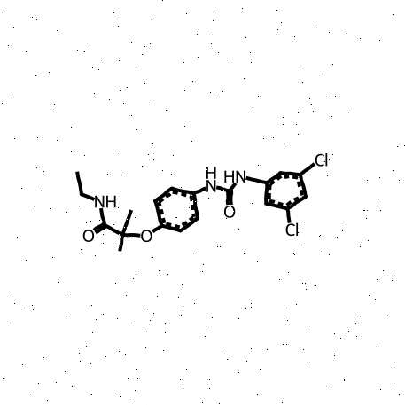 CCNC(=O)C(C)(C)Oc1ccc(NC(=O)Nc2cc(Cl)cc(Cl)c2)cc1